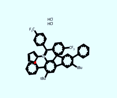 CC(C)(C)c1cc2c(cc1-c1ccccc1)Cc1c-2cc(C(C)(C)C)c(-c2ccccc2)[c]1[Zr]([C]1=CC=CC1)=[C](c1ccc(C(F)(F)F)cc1)c1ccc(C(F)(F)F)cc1.Cl.Cl